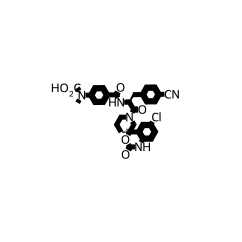 CN(C(=O)O)c1ccc(C(=O)N[C@@H](Cc2ccc(C#N)cc2)C(=O)N2CCC[C@@]3(C2)OC(=O)Nc2ccc(Cl)cc23)cc1